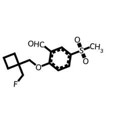 CS(=O)(=O)c1ccc(OCC2(CF)CCC2)c(C=O)c1